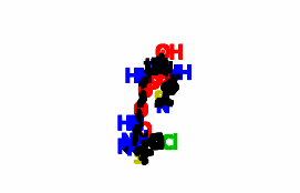 Cc1ncsc1-c1ccc([C@H](C)NC(=O)[C@@H]2C[C@@H](O)CN2C(=O)[C@@H](NC(=O)COCCCOCCNC(=O)C[C@@H]2N=C(c3ccc(Cl)cc3)c3c(sc(C)c3C)-n3cnnc32)C(C)(C)C)cc1